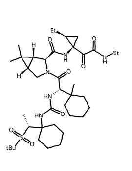 CCNC(=O)C(=O)[C@@]1(NC(=O)[C@@H]2[C@@H]3[C@H](CN2C(=O)[C@@H](NC(=O)NC2([C@@H](C)S(=O)(=O)C(C)(C)C)CCCCC2)C2(C)CCCCC2)C3(C)C)C[C@@H]1CC